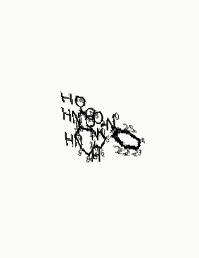 CN(C(=O)[C@@H]1CC[C@@H]2CCNC[C@H](NC(=O)O)C(=O)N21)c1ccccc1